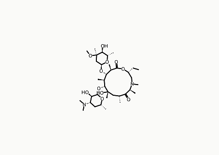 CC[C@@H]1CN(C)[C@@H](C)C(=O)[C@H](C)C[C@](C)(O)[C@H](O[C@@H]2O[C@H](C)C[C@H](N(C)C)[C@H]2O)[C@@H](C)[C@H](O[C@H]2C[C@@](C)(OC)[C@@H](O)[C@H](C)O2)[C@@H](C)C(=O)O1